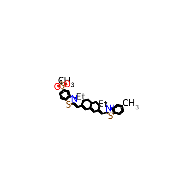 CCN1/C(=C\C2=CC3=C/C(=C/c4sc5ccc(C)cc5[n+]4CC)CCC3CC2)Sc2ccc(S(C)(=O)=O)cc21